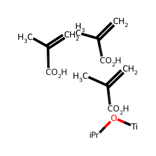 C=C(C)C(=O)O.C=C(C)C(=O)O.C=C(C)C(=O)O.CC(C)[O][Ti]